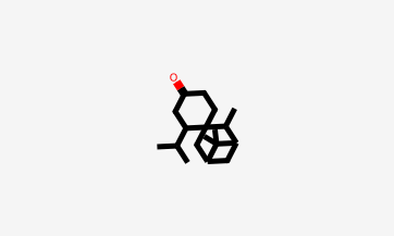 CC(C)C1CC(=O)CCC12CC1CC(C2C)C1(C)C